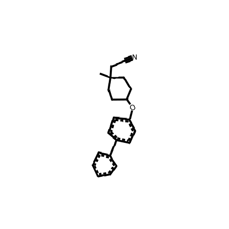 CC1(CC#N)CCC(Oc2ccc(-c3ccccc3)cc2)CC1